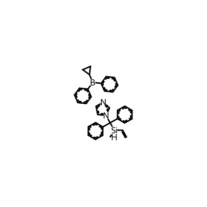 C=C[SiH](C)C(c1ccccc1)(c1ccccc1)n1ccnc1.c1ccc(B(c2ccccc2)C2CC2)cc1